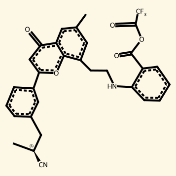 Cc1cc(CCNc2ccccc2C(=O)OC(=O)C(F)(F)F)c2oc(-c3cccc(C[C@H](C)C#N)c3)cc(=O)c2c1